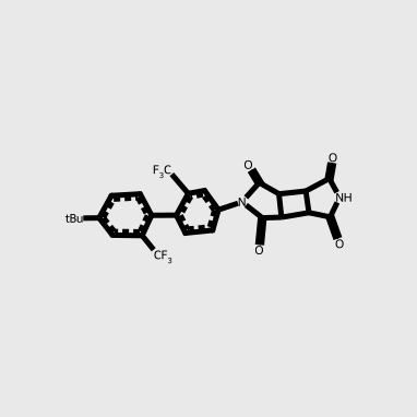 CC(C)(C)c1ccc(-c2ccc(N3C(=O)C4C5C(=O)NC(=O)C5C4C3=O)cc2C(F)(F)F)c(C(F)(F)F)c1